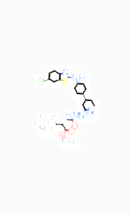 COC(=O)[C@@H](CC(=O)NNc1cc(-c2ccc(Nc3nc4ccc(Cl)cc4s3)cc2)ccn1)C(C)C